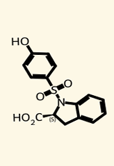 O=C(O)[C@@H]1Cc2ccccc2N1S(=O)(=O)c1ccc(O)cc1